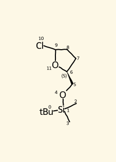 CC(C)(C)[Si](C)(C)OC[C@@H]1CCC(Cl)O1